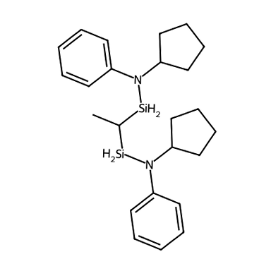 CC([SiH2]N(c1ccccc1)C1CCCC1)[SiH2]N(c1ccccc1)C1CCCC1